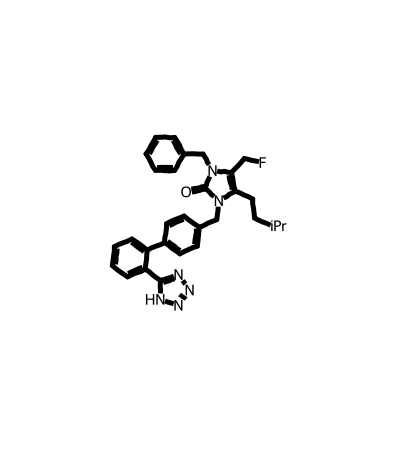 CC(C)CCc1c(CF)n(Cc2ccccc2)c(=O)n1Cc1ccc(-c2ccccc2-c2nnn[nH]2)cc1